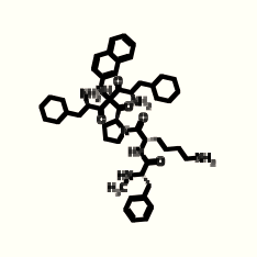 CN[C@@H](Cc1ccccc1)C(=O)N[C@@H](CCCCN)C(=O)N1CCC[C@H]1C(=O)C(Nc1ccc2ccccc2c1)(C(=O)[C@H](N)CC1CCCCC1)C(=O)[C@@H](N)CC1CCCCC1